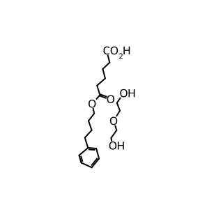 O=C(O)CCCCC(=O)OCCCCc1ccccc1.OCCOCCO